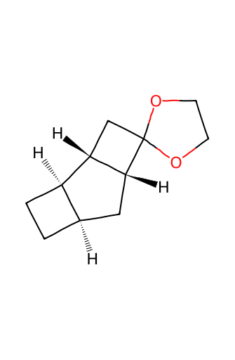 C1COC2(C[C@H]3[C@@H]4CC[C@@H]4C[C@H]32)O1